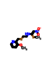 COc1cccnc1CSCCNC(=C[N+](=O)[O-])SC